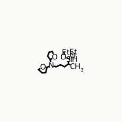 CCO[SiH](OCC)C(C)CCCN(C1CCCO1)C1CCCO1